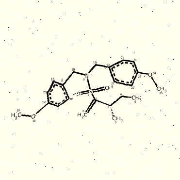 C=C([C@@H](C)CC)S(=O)(=O)N(Cc1ccc(OC)cc1)Cc1ccc(OC)cc1